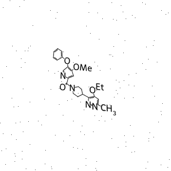 CCOc1cc(C)nnc1C1CCN(C(=O)c2cc(OC)c(Oc3ccccc3)cn2)CC1